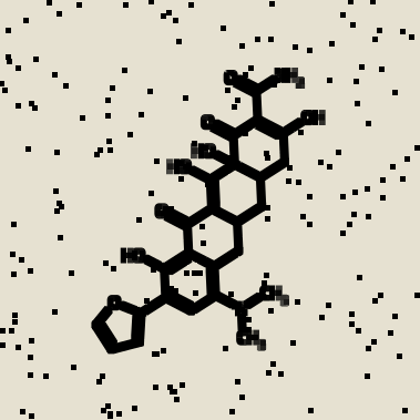 CN(C)c1cc(-c2ccco2)c(O)c2c1CC1CC3CC(O)=C(C(N)=O)C(=O)C3(O)C(O)=C1C2=O